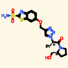 CC(C)[C@@H](C(=O)N1CCC[C@@H]1CO)n1cc(COc2ccc3nc(S(N)(=O)=O)sc3c2)nn1